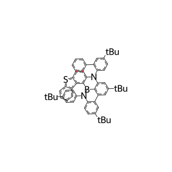 CC(C)(C)c1ccc(N2B3c4c(cc(C(C)(C)C)cc4N(c4ccc(C(C)(C)C)cc4-c4ccccc4)c4ccc5sc6ccccc6c5c43)-c3cc(C(C)(C)C)ccc32)cc1